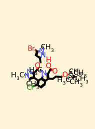 Cc1c(-c2c(Cl)ccc3c(CCCO[Si](C)(C)C(C)(C)C)c(C(=O)O)n(C)c23)c(COCc2cc(Br)n(C)n2)nn1C